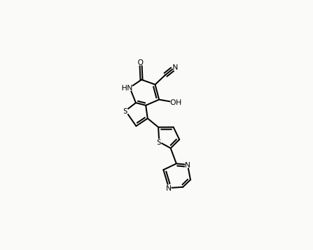 N#Cc1c(O)c2c(-c3ccc(-c4cnccn4)s3)csc2[nH]c1=O